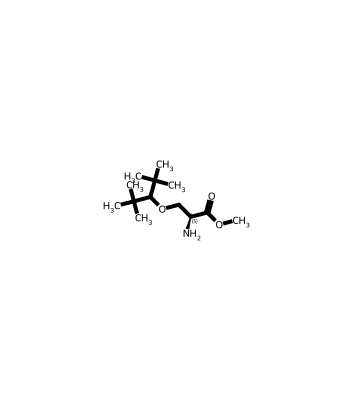 COC(=O)[C@@H](N)COC(C(C)(C)C)C(C)(C)C